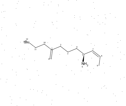 C=C(CCC[C@H](N)/C=C\C)CCC(C)(C)C